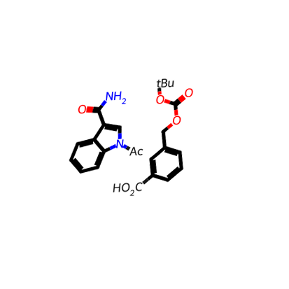 CC(=O)n1cc(C(N)=O)c2ccccc21.CC(C)(C)OC(=O)OCc1cccc(C(=O)O)c1